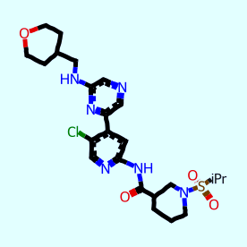 CC(C)S(=O)(=O)N1CCCC(C(=O)Nc2cc(-c3cncc(NCC4CCOCC4)n3)c(Cl)cn2)C1